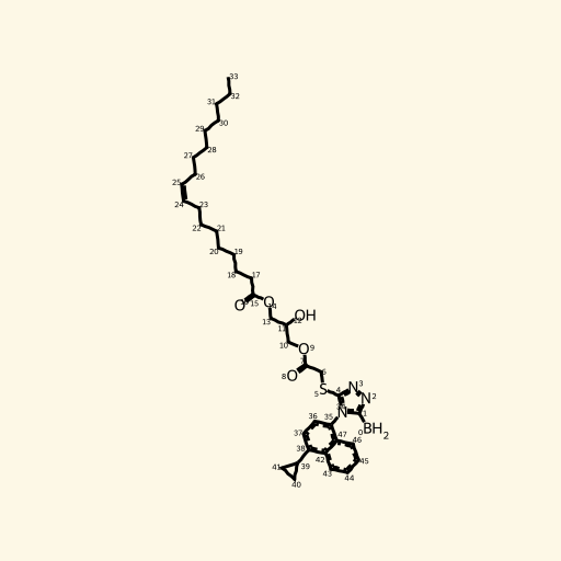 Bc1nnc(SCC(=O)OCC(O)COC(=O)CCCCCCC/C=C\CCCCCCCC)n1-c1ccc(C2CC2)c2ccccc12